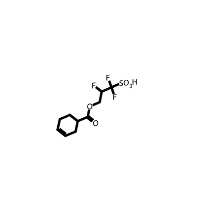 O=C(OCC(F)C(F)(F)S(=O)(=O)O)C1CC=CCC1